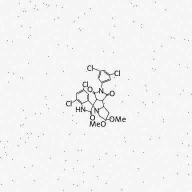 COC1(OC)CC2C3C(=O)N(c4cc(Cl)cc(Cl)c4)C(=O)C3C3(C(=O)Nc4c(Cl)cc(Cl)cc43)N2C1